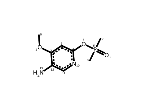 COc1cc(OP(C)(C)=O)ncc1N